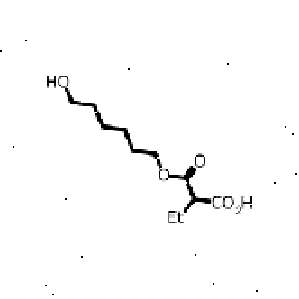 CCC(C(=O)O)C(=O)OCCCCCCO